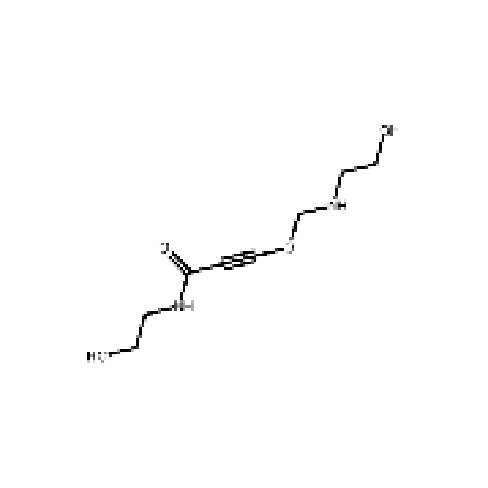 O=C(C#COCNCCO)NCCO